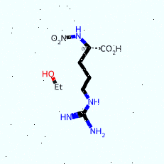 CCO.N=C(N)NCCC[C@H](N[N+](=O)[O-])C(=O)O